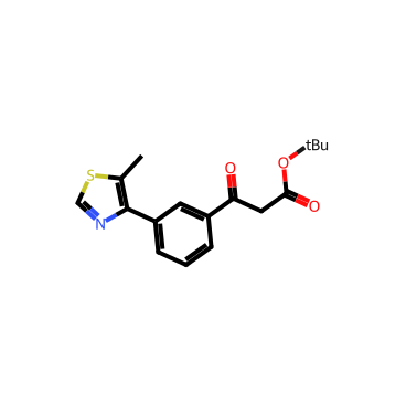 Cc1scnc1-c1cccc(C(=O)CC(=O)OC(C)(C)C)c1